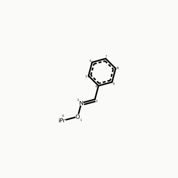 CC(C)O/N=C/c1[c]cccc1